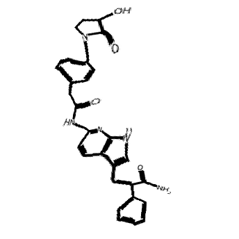 NC(=O)C(=Cc1c[nH]c2nc(NC(=O)Cc3ccc(N4CCC(O)C4=O)cc3)ccc12)c1ccccc1